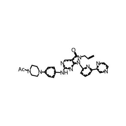 C=CCn1c(=O)c2cnc(Nc3ccc(N4CCN(C(C)=O)CC4)cc3)nc2n1-c1cccc(-c2cnccn2)n1